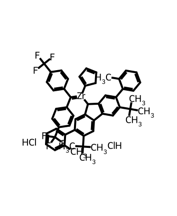 Cc1ccccc1-c1cc2c(cc1C(C)(C)C)-c1cc(C(C)(C)C)c(-c3ccccc3C)cc1[CH]2[Zr]([C]1=CC=CC1)=[C](c1ccc(C(F)(F)F)cc1)c1ccc(C(F)(F)F)cc1.Cl.Cl